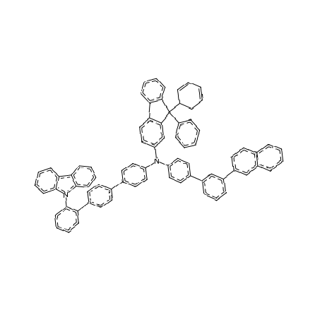 C1=CCC(C2(c3ccccc3)c3ccccc3-c3ccc(N(c4ccc(-c5ccc(-c6ccccc6-n6c7ccccc7c7ccccc76)cc5)cc4)c4ccc(-c5cccc(-c6ccc7ccccc7c6)c5)cc4)cc32)C=C1